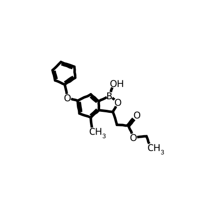 CCOC(=O)CC1OB(O)c2cc(Oc3ccccc3)cc(C)c21